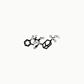 CC(C)(Oc1ccccc1F)C(=N)N(C#N)C1C2CC3CC1CC(S(C)(=O)=O)(C3)C2